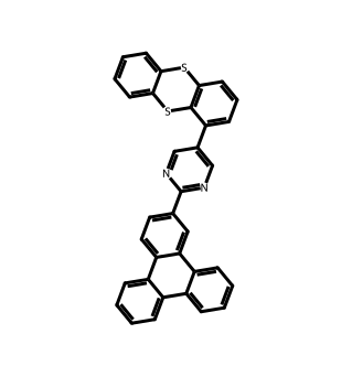 c1ccc2c(c1)Sc1cccc(-c3cnc(-c4ccc5c6ccccc6c6ccccc6c5c4)nc3)c1S2